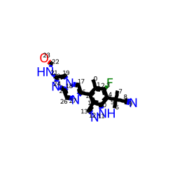 Cc1c(F)c(C(C)(C)C#N)c2[nH]ncc2c1-c1cn2cc(NC=O)nc2cn1